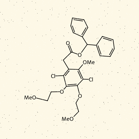 COCCOc1c(Cl)c([CH]C(=O)OC(c2ccccc2)c2ccccc2)c(OC)c(Cl)c1OCCOC